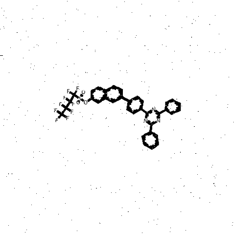 O=S(=O)(Oc1ccc2ccc(-c3ccc(-c4nc(-c5ccccc5)nc(-c5ccccc5)n4)cc3)cc2c1)C(F)(F)C(F)(F)C(F)(F)C(F)(F)F